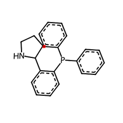 c1ccc(P(c2ccccc2)c2ccccc2C2CCCN2)cc1